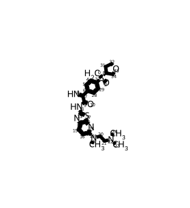 C=S(=O)(c1ccc(C(=N)C(=O)Nc2nc3ccc(N(C)CCN(C)C)nc3s2)cc1)[C@H]1CCOC1